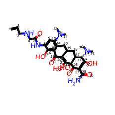 C=CCNCC(=O)Nc1cc(N(C)C)c2c(c1O)C(=O)C1=C(O)[C@]3(O)C(=O)C(C(N)=O)=C(O)[C@@H](N(C)C)C3CC1C2